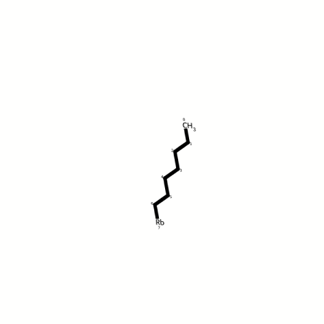 CCCCCC[CH2][Rb]